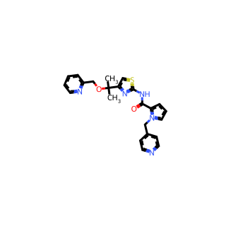 CC(C)(OCc1ccccn1)c1csc(NC(=O)c2cccn2Cc2ccncc2)n1